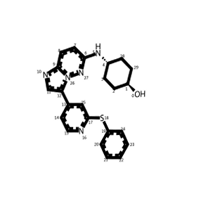 O[C@H]1CC[C@H](Nc2ccc3ncc(-c4ccnc(Sc5ccccc5)c4)n3n2)CC1